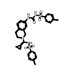 Cc1ccc(S(=O)(=O)NC(=O)Nc2ccc3c(c2)CN(C(NS(=O)(=O)c2ccc(C)cc2)=C2CC2)CC3)cc1